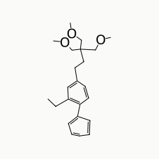 CCc1cc(CCC(COC)(COC)COC)ccc1-c1ccccc1